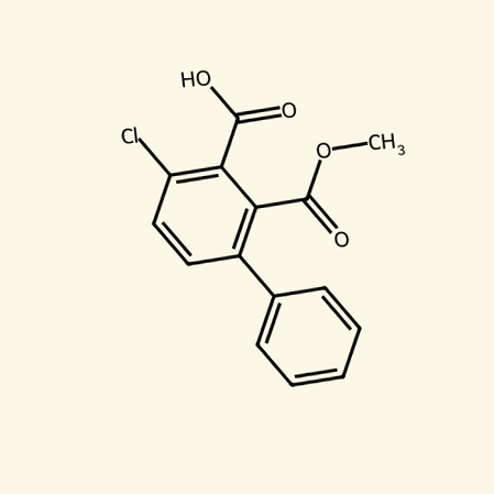 COC(=O)c1c(-c2ccccc2)ccc(Cl)c1C(=O)O